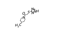 CC1CCN(C(=O)CSc2nc[nH]n2)CC1